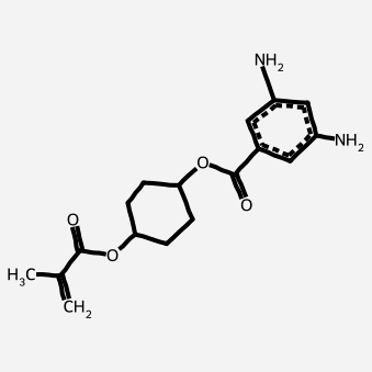 C=C(C)C(=O)OC1CCC(OC(=O)c2cc(N)cc(N)c2)CC1